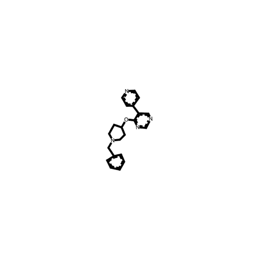 c1ccc(CN2CCC(Oc3ncncc3-c3ccncc3)CC2)cc1